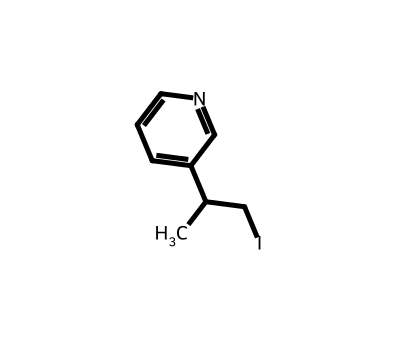 CC(CI)c1cccnc1